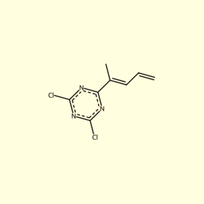 C=C/C=C(\C)c1nc(Cl)nc(Cl)n1